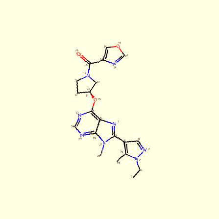 CCn1ncc(-c2nc3c(O[C@H]4CCN(C(=O)c5cocn5)C4)ncnc3n2C)c1C